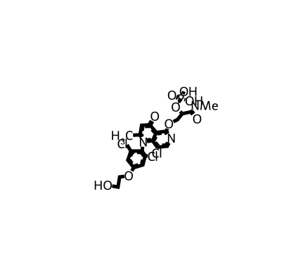 CNC(=O)C(COc1ncc(Cl)c2c1c(=O)cc(C)n2-c1c(Cl)cc(OCCO)cc1Cl)OP(=O)(O)O